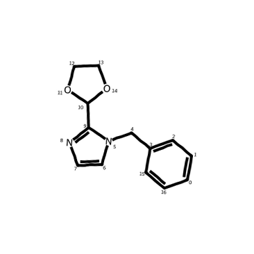 c1ccc(Cn2ccnc2C2OCCO2)cc1